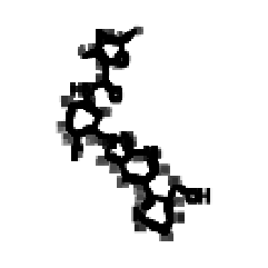 Cc1nc(C)c(C(=O)Nc2ccc(F)c(-n3cc4cc(-c5ncccc5CO)cnc4n3)c2)o1